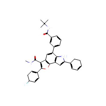 CNC(=O)c1c(C2=CCC(F)C=C2)oc2c1cc(-c1cccc(C(=O)NC(C)(C)C)c1)c1[nH]c(C3=CC=CCC3)cc12